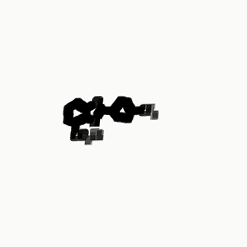 CCOC(=O)c1cccc2oc(-c3ccc(C(F)(F)F)cc3)nc12